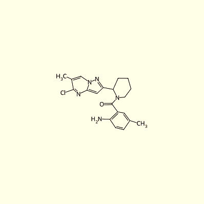 Cc1ccc(N)c(C(=O)N2CCCCC2c2cc3nc(Cl)c(C)cn3n2)c1